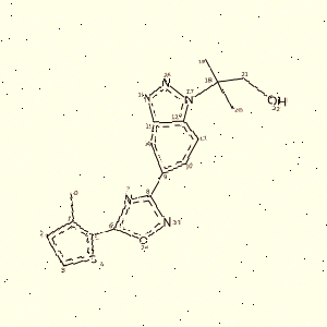 Cc1ccsc1-c1nc(-c2ccc3c(c2)nnn3C(C)(C)CO)no1